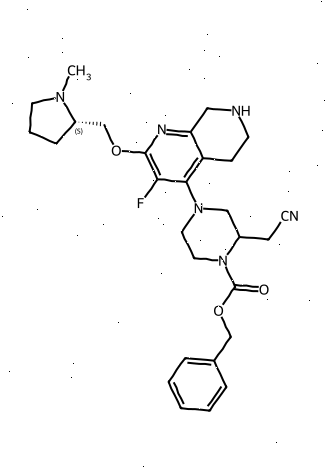 CN1CCC[C@H]1COc1nc2c(c(N3CCN(C(=O)OCc4ccccc4)C(CC#N)C3)c1F)CCNC2